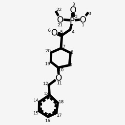 COP(=O)(CC(=O)C1CCC(OCc2ccccc2)CC1)OC